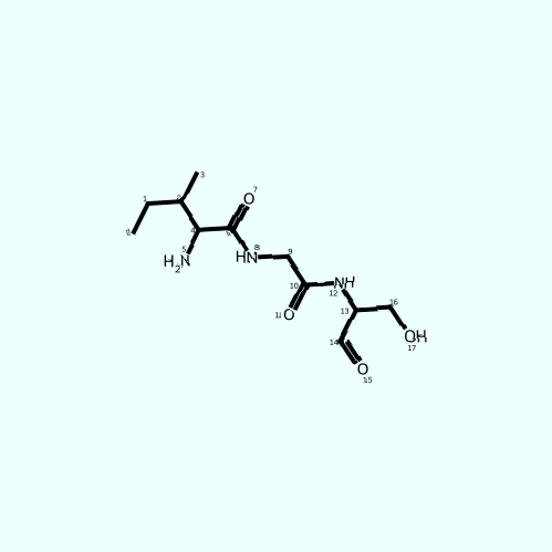 CCC(C)C(N)C(=O)NCC(=O)NC([C]=O)CO